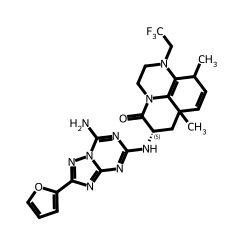 CC1C=CC2(C)C[C@H](Nc3nc(N)n4nc(-c5ccco5)nc4n3)C(=O)N3CCN(CC(F)(F)F)C1=C32